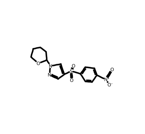 O=[N+]([O-])c1ccc(S(=O)(=O)c2cnn(C3CCCCO3)c2)cc1